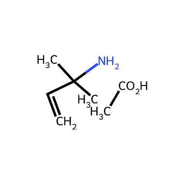 C=CC(C)(C)N.CC(=O)O